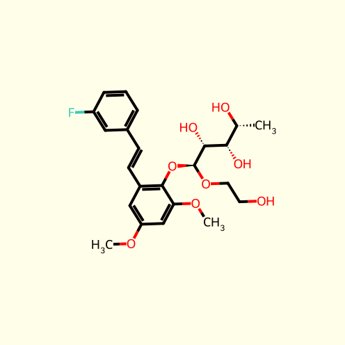 COc1cc(/C=C/c2cccc(F)c2)c(O[C@H](OCCO)[C@H](O)[C@@H](O)[C@@H](C)O)c(OC)c1